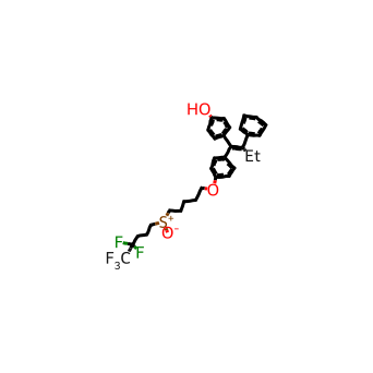 CC/C(=C(/c1ccc(O)cc1)c1ccc(OCCCCC[S+]([O-])CCCC(F)(F)C(F)(F)F)cc1)c1ccccc1